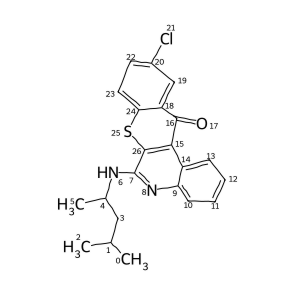 CC(C)CC(C)Nc1nc2ccccc2c2c(=O)c3cc(Cl)ccc3sc12